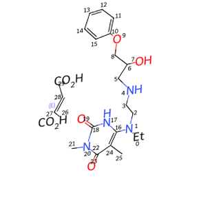 CCN(CCNCC(O)COc1ccccc1)c1[nH]c(=O)n(C)c(=O)c1C.O=C(O)/C=C/C(=O)O